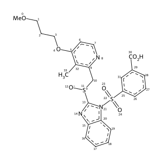 COCCCOc1ccnc(C[S+]([O-])c2nc3ccccc3n2S(=O)(=O)c2cccc(C(=O)O)c2)c1C